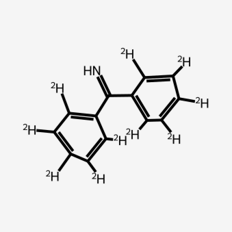 [2H]c1c([2H])c([2H])c(C(=N)c2c([2H])c([2H])c([2H])c([2H])c2[2H])c([2H])c1[2H]